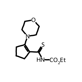 CCOC(=O)NC(=S)C1=C(N2CCOCC2)CCC1